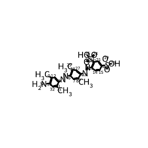 Cc1cc(N=Nc2cc(C)c(N=Nc3ccc(S(=O)(=O)O)cc3S(=O)(=O)O)cc2C)c(C)cc1N